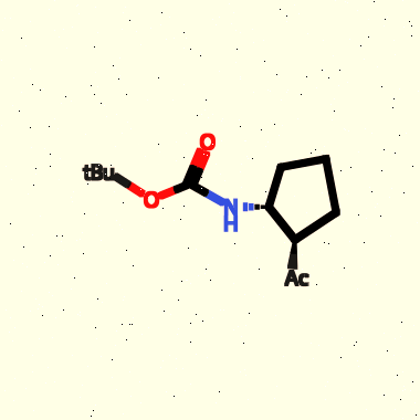 CC(=O)[C@@H]1CCC[C@H]1NC(=O)OC(C)(C)C